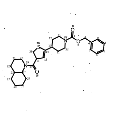 O=C(OCc1ccccc1)N1CCC(C2=CC(C(=O)N3CCCC4CCCCC43)CS2)CC1